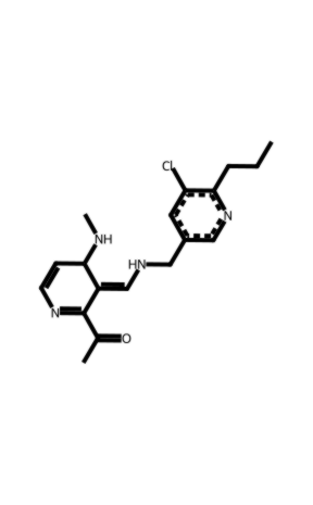 CCCc1ncc(CN/C=C2/C(C(C)=O)=NC=CC2NC)cc1Cl